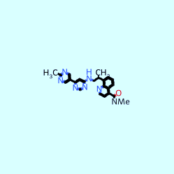 CNC(=O)c1ccnc2c([C@H](C)CNc3cc(-c4cnc(C)nc4)ncn3)cccc12